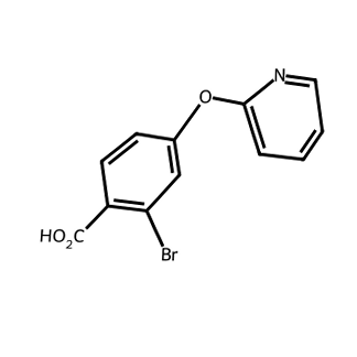 O=C(O)c1ccc(Oc2ccccn2)cc1Br